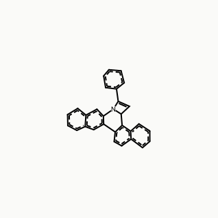 C1=C(c2ccccc2)N2c3cc4ccccc4cc3-c3ccc4ccccc4c3C12